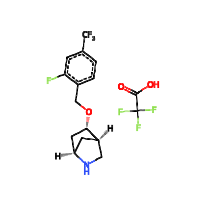 Fc1cc(C(F)(F)F)ccc1CO[C@H]1C[C@H]2C[C@@H]1CN2.O=C(O)C(F)(F)F